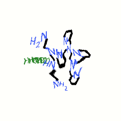 Cl.Cl.Cl.Cl.NCCCNCCNCCN.c1ccc(CN(CCN(Cc2ccccn2)Cc2ccccn2)Cc2ccccn2)nc1